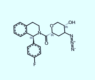 [N-]=[N+]=NC1C[C@H](C(=O)N2CCc3ccccc3[C@@H]2c2ccc(F)cc2)OC[C@@H]1O